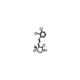 O=C1NCCS(=O)(=O)/C1=C/C=C/c1cccc(Cl)c1Cl